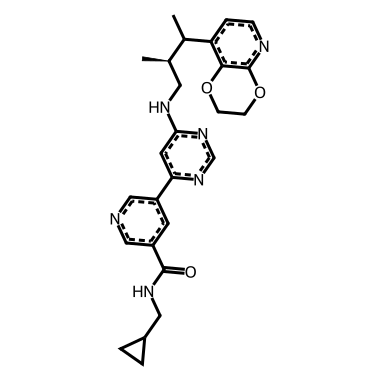 CC(c1ccnc2c1OCCO2)[C@H](C)CNc1cc(-c2cncc(C(=O)NCC3CC3)c2)ncn1